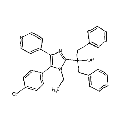 CCn1c(C(O)(Cc2ccccc2)Cc2ccccc2)nc(-c2ccncc2)c1-c1ccc(Cl)cc1